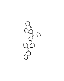 c1ccc(-n2c3cc(-c4cccc5c4c4ccccc4n5-c4ccc5ccccc5c4)ccc3c3c4cccc5c4c(cc32)Oc2ccccc2-5)cc1